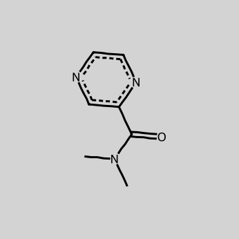 CN(C)C(=O)c1cnccn1